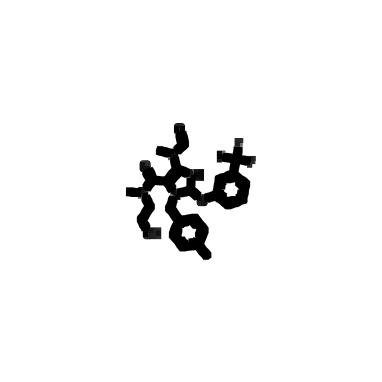 Cc1ccc(CN2C(C(=O)N(C)CCO)=C(N(C)C=O)NC2Oc2cccc(C(F)(F)F)c2)cc1